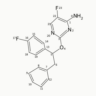 Nc1nc(OC(Cc2ccccc2)c2ccc(F)cc2)ncc1F